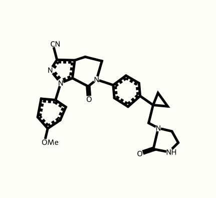 COc1ccc(-n2nc(C#N)c3c2C(=O)N(c2ccc(C4(CN5CCNC5=O)CC4)cc2)CC3)cc1